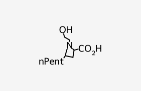 CCCCCC1CC(C(=O)O)N(CCO)C1